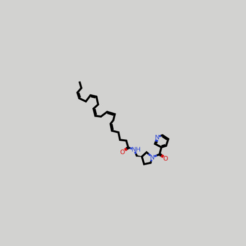 CC/C=C\C/C=C\C/C=C\C/C=C\C/C=C\CCCC(=O)NC[C@@H]1CCN(C(=O)c2cccnc2)C1